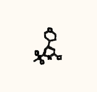 CS(=O)(=O)c1cc(C2CCOCC2)cc(Cl)n1